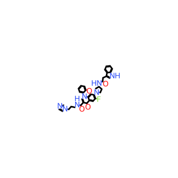 O=C(Cc1c[nH]c2ccccc12)NC1CCN(c2c(F)cc3c(=O)c(C(=O)NCCCn4ccnc4)cn4c3c2Oc2ccccc2-4)C1